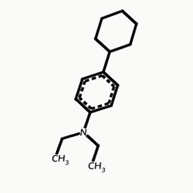 CCN(CC)c1ccc(C2CCCCC2)cc1